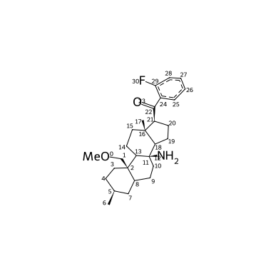 COC[C@]12CC[C@H](C)CC1CC[C@]1(N)C2CC[C@@]2(C)C1CC[C@@H]2C(=O)c1ccccc1F